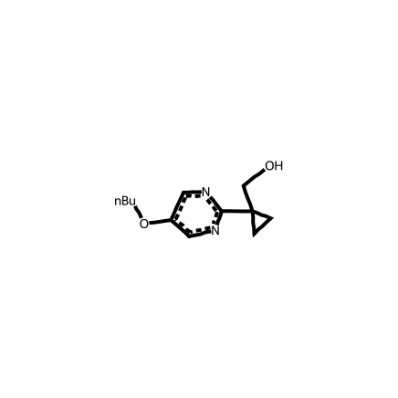 CCCCOc1cnc(C2(CO)CC2)nc1